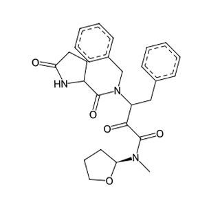 CN(C(=O)C(=O)C(Cc1ccccc1)N(Cc1ccccc1)C(=O)C1CCC(=O)N1)[C@@H]1CCCO1